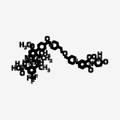 COc1cc2nc(C)nc(N[C@H](C)c3cc(NC(=O)O)cc(C(F)(F)F)c3)c2c(C(C)(C)C)c1C1CCC(C(=O)N2CCC(CCOCC3CCN(c4ccc5c(c4)C(=O)N(C4CCC(=O)NC4=O)C5=O)CC3)CC2)CC1